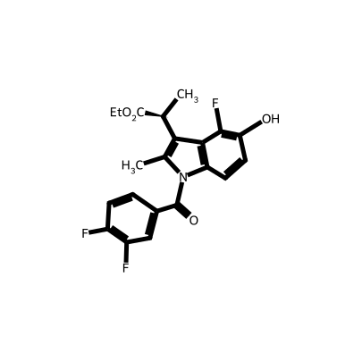 CCOC(=O)[C@@H](C)c1c(C)n(C(=O)c2ccc(F)c(F)c2)c2ccc(O)c(F)c12